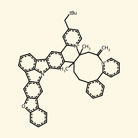 C=C1CC2(C)[n+]3ccc(CC(C)(C)C)cc3-c3cc4c5cccc6c7cc8oc9ccccc9c8cc7n(c4cc3C2(C)CCc2ccccc2-c2cccc[n+]21)c56